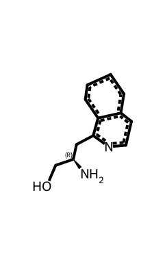 N[C@@H](CO)Cc1nccc2ccccc12